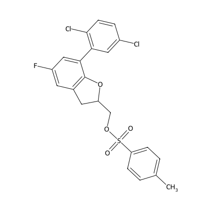 Cc1ccc(S(=O)(=O)OCC2Cc3cc(F)cc(-c4cc(Cl)ccc4Cl)c3O2)cc1